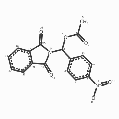 CC(=O)OC(c1ccc([N+](=O)[O-])cc1)N1C(=O)c2ccccc2C1=O